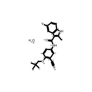 Cc1[nH]c2ccc(F)cc2c1C(=O)Nc1ccc(OCC(C)(C)C)c(C#N)c1.O